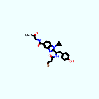 COC(=O)CNC(=O)c1ccc2c(c1)nc(C(Cc1ccc(O)cc1)NC(=O)CCS)n2C1CC1